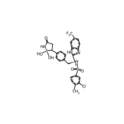 Cc1ccc(S(=O)(=O)N[C@@H](Cc2ccc(C3CC(=O)NS3(O)O)cc2)c2nc3ccc(C(F)(F)F)cc3[nH]2)cc1Cl